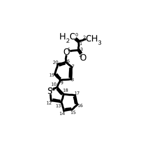 C=C(C)C(=O)Oc1ccc(-c2scc3ccccc23)cc1